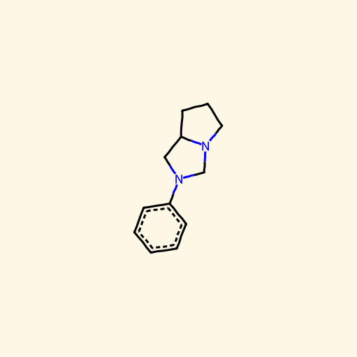 c1ccc(N2CC3CCCN3C2)cc1